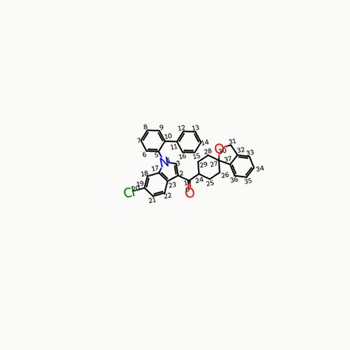 O=C(c1cn(-c2ccccc2-c2ccccc2)c2cc(Cl)ccc12)C1CCC2(CC1)OCc1ccccc12